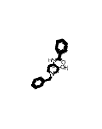 O=C(N[C@@H]1CCN(Cc2ccccc2)C[C@H]1O)c1ccccc1